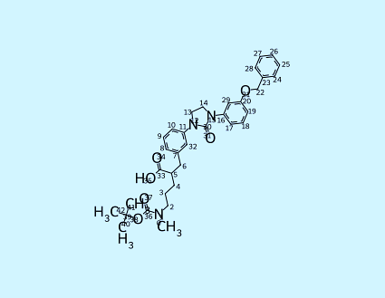 CN(CCCC(Cc1cccc(N2CCN(c3cccc(OCc4ccccc4)c3)C2=O)c1)C(=O)O)C(=O)OC(C)(C)C